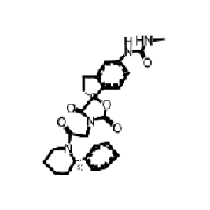 CNC(=O)Nc1ccc2c(c1)CC[C@@]21OC(=O)N(CC(=O)N2CCCC[C@H]2c2ccccc2)C1=O